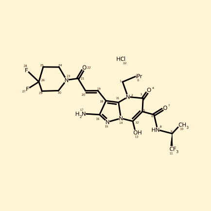 CC(C)Cn1c(=O)c(C(=O)N[C@@H](C)C(F)(F)F)c(O)n2nc(N)c(/C=C/C(=O)N3CCC(F)(F)CC3)c12.Cl